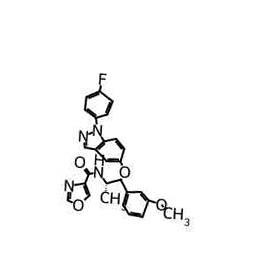 COc1cccc([C@@H](Oc2ccc3c(cnn3-c3ccc(F)cc3)c2)[C@H](C)NC(=O)c2cocn2)c1